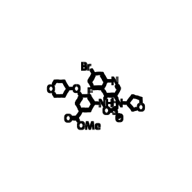 COC(=O)c1cc(Nc2c(N(C3CCOC3)[SH](=O)=O)cnc3cc(Br)cc(F)c23)cc(OC2CCOCC2)c1